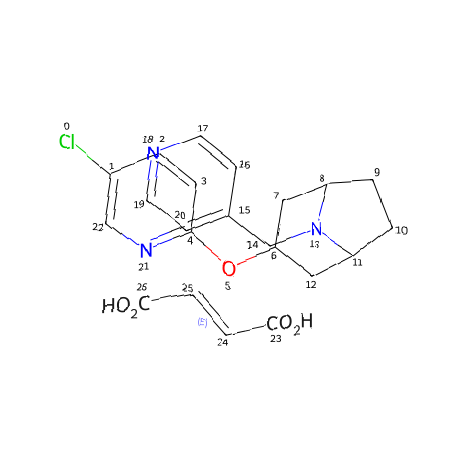 Clc1ccc(OC2CC3CCC(C2)N3Cc2ccncc2)nc1.O=C(O)/C=C/C(=O)O